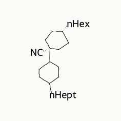 CCCCCCCC1CCC([C@]2(C#N)CC[C@@H](CCCCCC)CC2)CC1